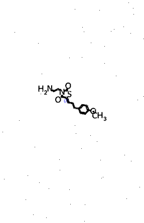 COc1ccc(CC/C=C2\SC(=O)N(CCN)C2=O)cc1